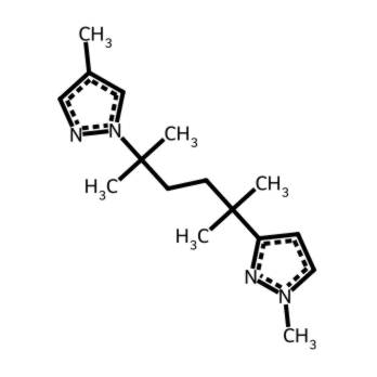 Cc1cnn(C(C)(C)CCC(C)(C)c2ccn(C)n2)c1